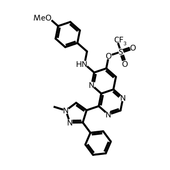 COc1ccc(CNc2nc3c(-c4cn(C)nc4-c4ccccc4)ncnc3cc2OS(=O)(=O)C(F)(F)F)cc1